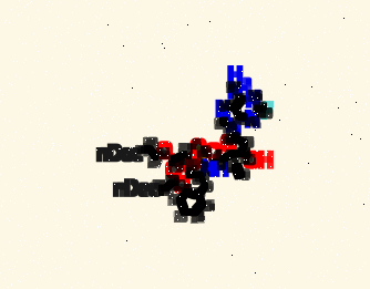 C#C[C@]1(CO[P@@](=O)(N[C@@H](Cc2ccccc2)C(=O)OCCCCCCCCCCCC)OCC(=O)OCCCCCCCCCCCC)O[C@@H](n2cnc3c(N)nc(F)nc32)C[C@@H]1O